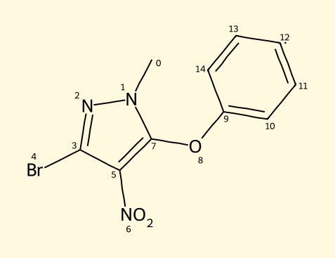 Cn1nc(Br)c([N+](=O)[O-])c1Oc1cc[c]cc1